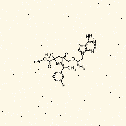 CCCOC(=O)C(C)(C)CP(=O)(CO[C@H](C)Cn1cnc2c(N)ncnc21)N[C@@H](C)c1cccc(F)c1